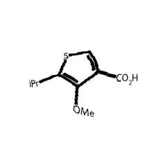 COc1c(C(=O)O)csc1C(C)C